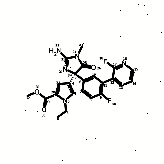 CCn1cc([C@]2(c3ccc(F)c(-c4cccnc4F)c3)N=C(N)N(C)C2=O)cc1C(=O)OC